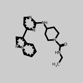 CCNC(=O)N1CCC(Nc2nccc(-c3cnn4ccccc34)n2)CC1